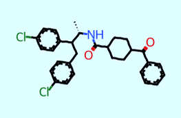 C[C@H](NC(=O)C1CCC(C(=O)c2ccccc2)CC1)C(Cc1ccc(Cl)cc1)c1ccc(Cl)cc1